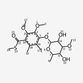 COc1c(OC2OC(C)C(O)C(OC)C2O)c(I)c(C)c(C(=O)SC)c1OC